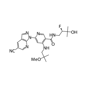 COC(C)(C)CNc1cc(-n2ncc3cc(C#N)cnc32)ncc1C(=O)NC[C@@H](F)C(C)(C)O